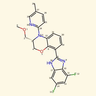 COC[C@H]1COc2c(-c3nc4c(F)cc(F)cc4[nH]3)cccc2N1c1ccc(C)cn1